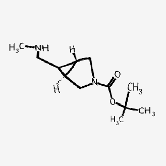 CNCC1[C@@H]2CN(C(=O)OC(C)(C)C)C[C@@H]12